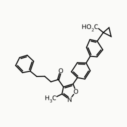 Cc1noc(-c2ccc(-c3ccc(C4(C(=O)O)CC4)cc3)cc2)c1C(=O)CCCc1ccccc1